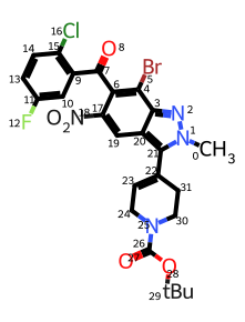 Cn1nc2c(Br)c(C(=O)c3cc(F)ccc3Cl)c([N+](=O)[O-])cc2c1C1=CCN(C(=O)OC(C)(C)C)CC1